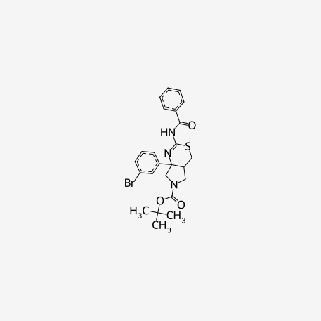 CC(C)(C)OC(=O)N1CC2CSC(NC(=O)c3ccccc3)=NC2(c2cccc(Br)c2)C1